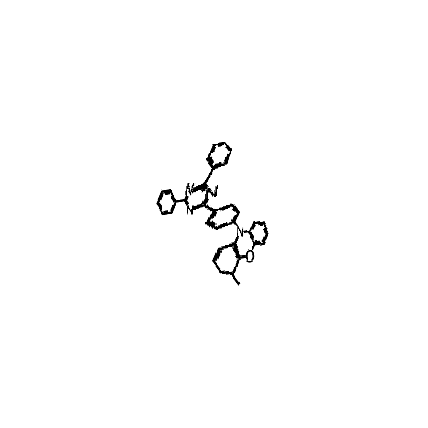 CC1CC=CC2=C1Oc1ccccc1N2c1ccc(-c2nc(-c3ccccc3)nc(-c3ccccc3)n2)cc1